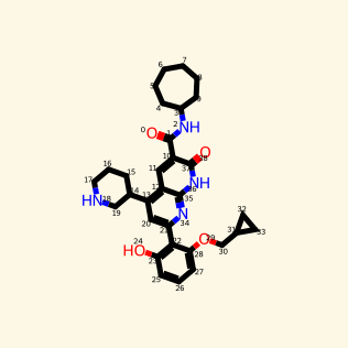 O=C(NC1CCCCCC1)c1cc2c(C3CCCNC3)cc(-c3c(O)cccc3OCC3CC3)nc2[nH]c1=O